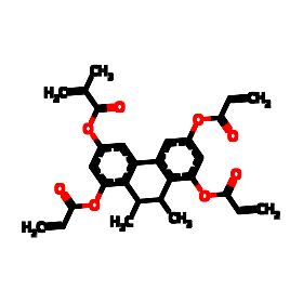 C=CC(=O)Oc1cc(OC(=O)C=C)c2c(c1)-c1cc(OC(=O)C(=C)C)cc(OC(=O)C=C)c1C(C)C2C